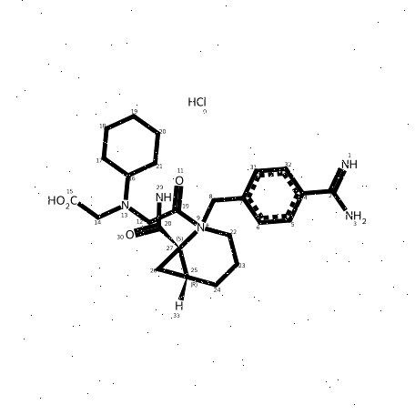 Cl.N=C(N)c1ccc(C[N+]2(C(=O)CN(CC(=O)O)C3CCCCC3)CCC[C@@H]3C[C@@]32C(N)=O)cc1